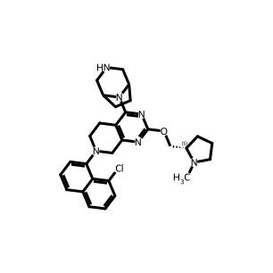 CN1CCC[C@H]1COc1nc2c(c(N3C4CCC3CNC4)n1)CCN(c1cccc3cccc(Cl)c13)C2